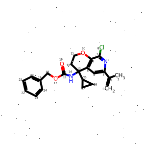 C=C(C)c1cc2c(c(Cl)n1)OCCC2(NC(=O)OCc1ccccc1)C1CC1